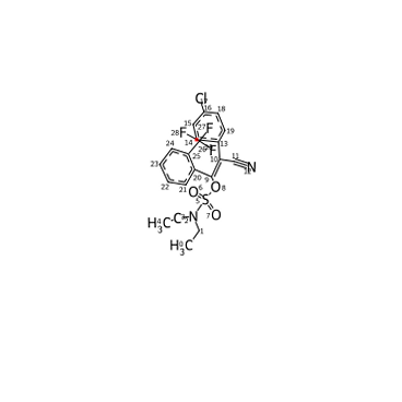 CCN(CC)S(=O)(=O)O/C(=C(\C#N)c1ccc(Cl)cc1)c1ccccc1C(F)(F)F